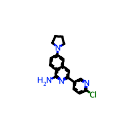 Nc1nc(-c2ccc(Cl)nc2)cc2cc(N3CCCC3)ccc12